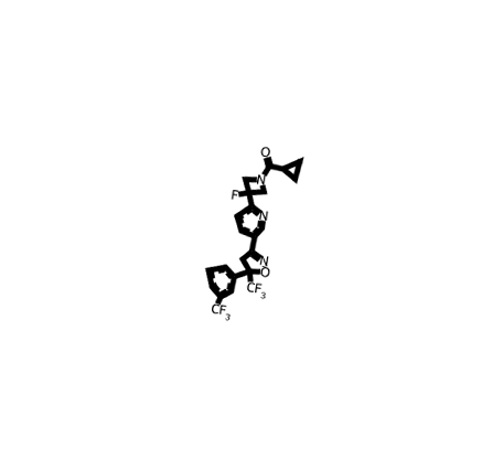 O=C(C1CC1)N1CC(F)(c2ccc(C3=NOC(c4cccc(C(F)(F)F)c4)(C(F)(F)F)C3)cn2)C1